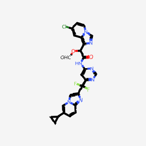 O=COC(C(=O)Nc1cc(C(F)(F)c2cn3cc(C4CC4)ccc3n2)ncn1)c1ncn2ccc(Cl)cc12